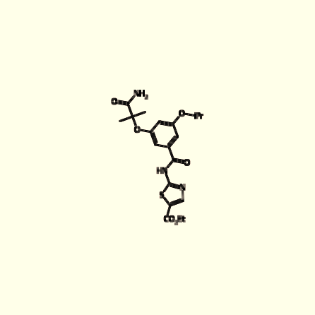 CCOC(=O)c1cnc(NC(=O)c2cc(OC(C)C)cc(OC(C)(C)C(N)=O)c2)s1